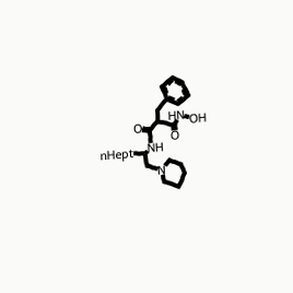 CCCCCCCC(CN1CCCCC1)NC(=O)C(Cc1ccccc1)C(=O)NO